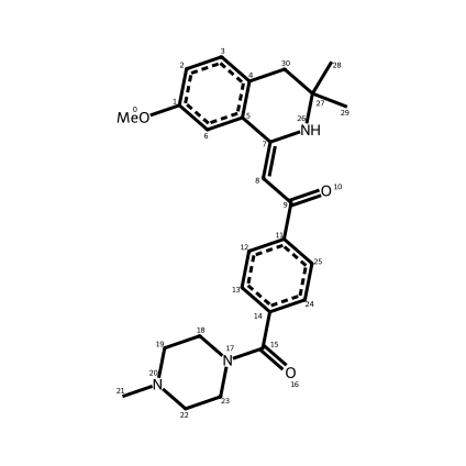 COc1ccc2c(c1)C(=CC(=O)c1ccc(C(=O)N3CCN(C)CC3)cc1)NC(C)(C)C2